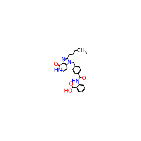 CCCCc1nc2c(=O)[nH]ccc2n1Cc1ccc(C(=O)Nc2ccccc2C(=O)O)cc1